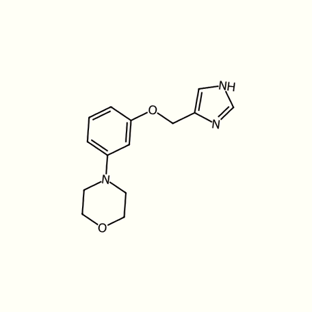 c1cc(OCc2c[nH]cn2)cc(N2CCOCC2)c1